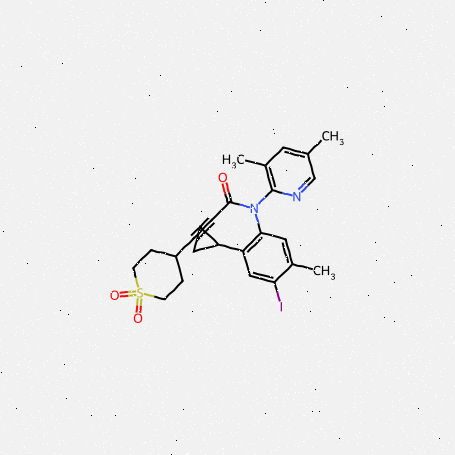 Cc1cnc(N(C(=O)C#CC2CCS(=O)(=O)CC2)c2cc(C)c(I)cc2C2CC2)c(C)c1